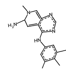 Cc1cc(Nc2ncnc3c2=CC(N)N(C)C=3)cc(I)c1C